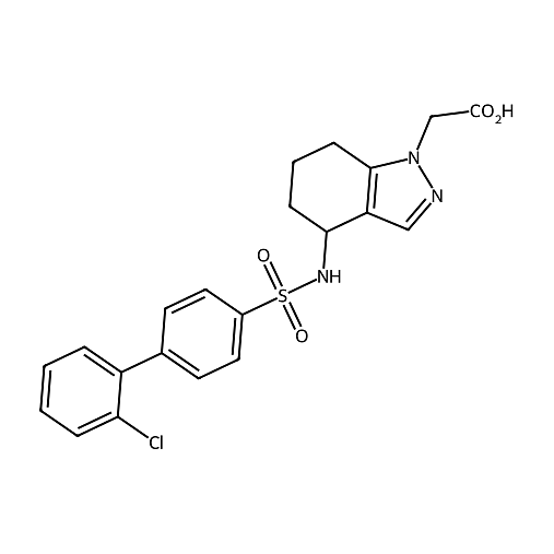 O=C(O)Cn1ncc2c1CCCC2NS(=O)(=O)c1ccc(-c2ccccc2Cl)cc1